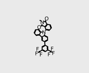 CN1C(=O)c2cccc(-n3c4ccccc4c4cc(-c5cc(C(F)(F)F)cc(C(F)(F)F)c5)ccc43)c2C1=O